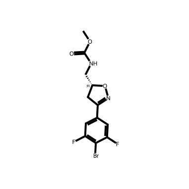 COC(=O)NC[C@H]1CC(c2cc(F)c(Br)c(F)c2)=NO1